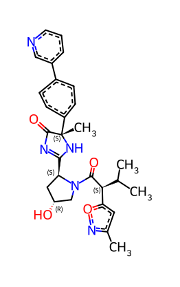 Cc1cc([C@@H](C(=O)N2C[C@H](O)C[C@H]2C2=NC(=O)[C@](C)(c3ccc(-c4cccnc4)cc3)N2)C(C)C)on1